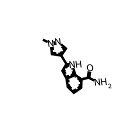 Cn1cc(-c2cc3cccc(C(N)=O)c3[nH]2)cn1